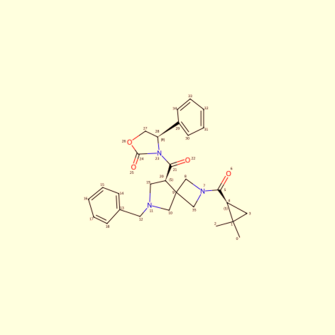 CC1(C)C[C@@H]1C(=O)N1CC2(CN(Cc3ccccc3)C[C@H]2C(=O)N2C(=O)OC[C@H]2c2ccccc2)C1